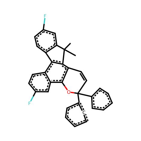 CC1(C)c2cc(F)ccc2-c2c1c1c(c3cc(F)ccc23)OC(c2ccccc2)(c2ccccc2)C=C1